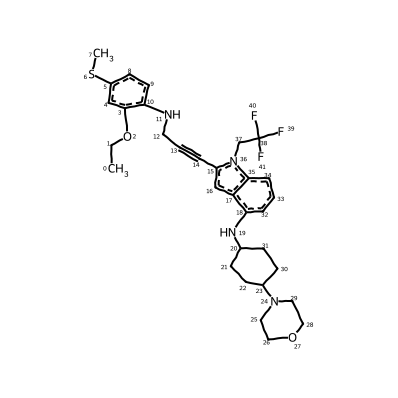 CCOc1cc(SC)ccc1NCC#Cc1cc2c(NC3CCC(N4CCOCC4)CC3)cccc2n1CC(F)(F)F